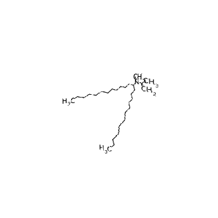 C=C(C)N(C)C(CCCCCCCCCCCC)CCCCCCCCCCCC